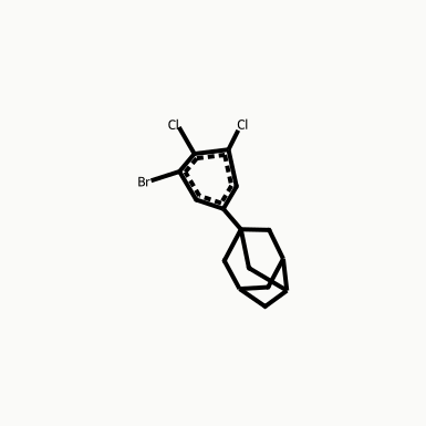 Clc1cc(C23CC4CC(C2)C(C4)C3)cc(Br)c1Cl